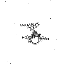 COc1ccc2c(c1)nc(-c1ccccc1)n2CC(=O)N1C[C@H]2CN3C(=O)[C@H](NC(=O)OC(C)(C)C)CCCCC/C=C\[C@@H]4C[C@@]4(C(=O)O)NC(=O)[C@@H]3[C@H]2C1